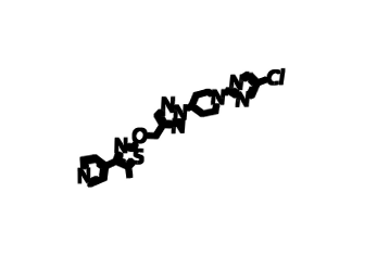 Cc1sc(OCc2cnn(C3CCN(c4ncc(Cl)cn4)CC3)n2)nc1-c1ccncc1